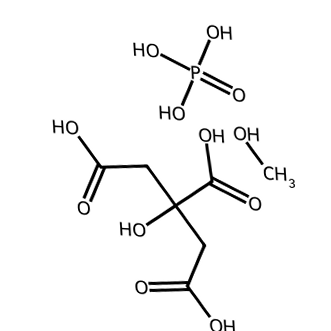 CO.O=C(O)CC(O)(CC(=O)O)C(=O)O.O=P(O)(O)O